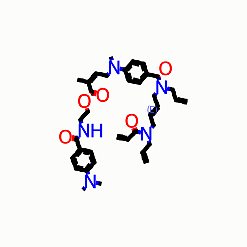 C=CCN(C/C=C/CN(CC=C)C(=O)c1ccc(N(C)CC=C(C)C(=O)OCCNC(=O)c2ccc(N(C)C)cc2)cc1)C(=O)C=C